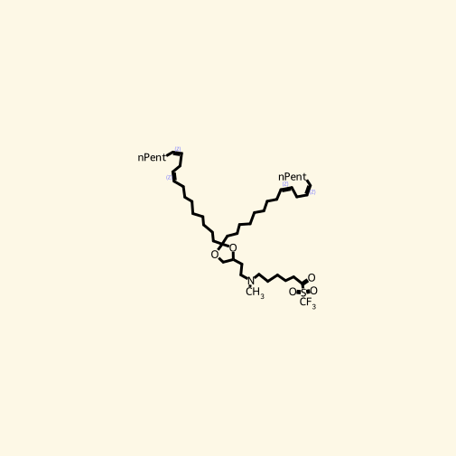 CCCCC/C=C\C/C=C\CCCCCCCCC1(CCCCCCCC/C=C\C/C=C\CCCCC)OCC(CCN(C)CCCCCC(=O)S(=O)(=O)C(F)(F)F)O1